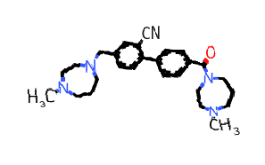 CN1CCCN(Cc2ccc(-c3ccc(C(=O)N4CCCN(C)CC4)cc3)c(C#N)c2)CC1